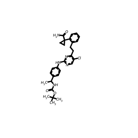 CC(NC(=O)OC(C)(C)C)c1ccc(Nc2ncc(Cl)c(CCc3ccccc3C3(C(N)=O)CC3)n2)cc1